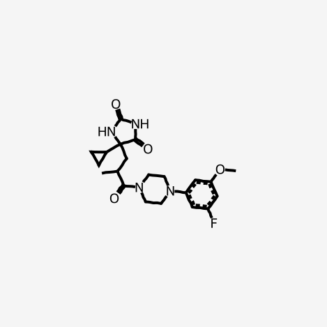 COc1cc(F)cc(N2CCN(C(=O)C(C)CC3(C4CC4)NC(=O)NC3=O)CC2)c1